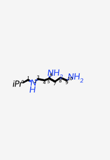 CC(C)CNCCC(N)CCCN